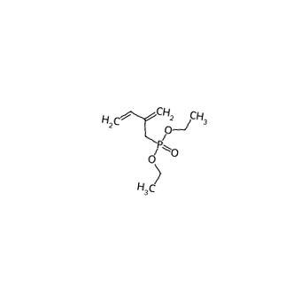 C=CC(=C)CP(=O)(OCC)OCC